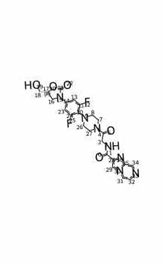 O=C(NCC(=O)N1CCN(c2c(F)cc(N3C[C@H](CO)OC3=O)cc2F)CC1)c1cn2ccncc2n1